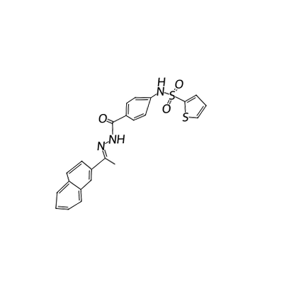 CC(=NNC(=O)c1ccc(NS(=O)(=O)c2cccs2)cc1)c1ccc2ccccc2c1